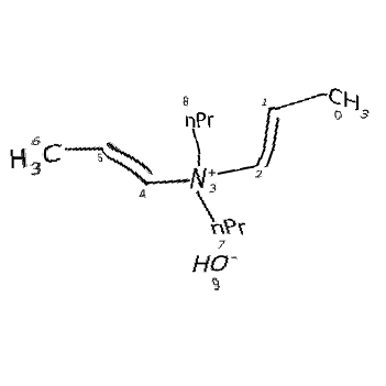 CC=C[N+](C=CC)(CCC)CCC.[OH-]